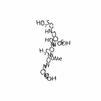 COc1cc(N=Nc2cccc(OSO)c2)ccc1N=Nc1ccc(N=Nc2c(OSO)cc3ccc(Nc4cccc(S(=O)(=O)O)c4)cc3c2O)cc1C